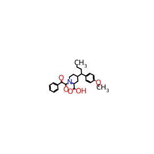 CCCC(c1ccc(OC)cc1)C1CCN(C(=O)C(=O)c2ccccc2)C(C(=O)O)C1